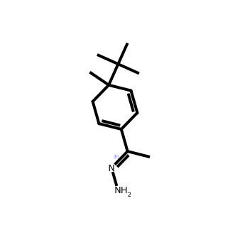 C/C(=N\N)C1=CCC(C)(C(C)(C)C)C=C1